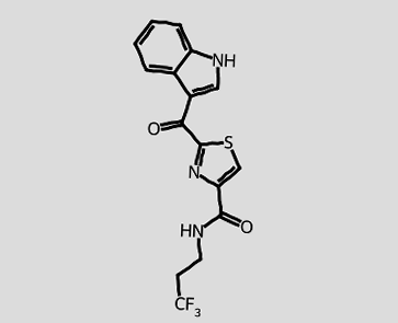 O=C(NCCC(F)(F)F)c1csc(C(=O)c2c[nH]c3ccccc23)n1